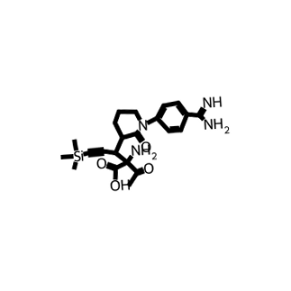 CC(=O)C(N)(C(=O)O)C(C#C[Si](C)(C)C)C1CCCN(c2ccc(C(=N)N)cc2)C1=O